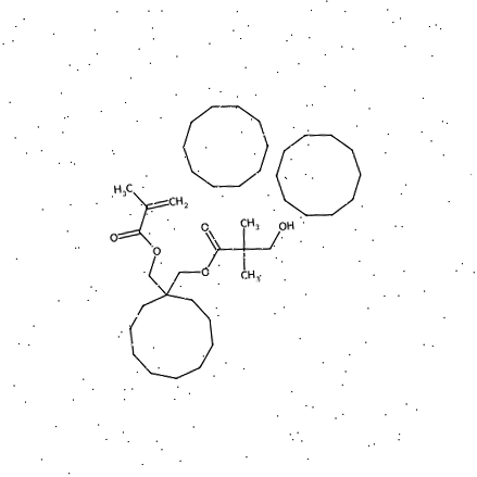 C1CCCCCCCCC1.C1CCCCCCCCC1.C=C(C)C(=O)OCC1(COC(=O)C(C)(C)CO)CCCCCCCCC1